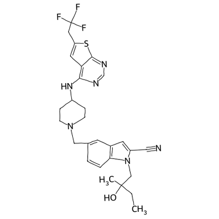 CCC(C)(O)Cn1c(C#N)cc2cc(CN3CCC(Nc4ncnc5sc(CC(F)(F)F)cc45)CC3)ccc21